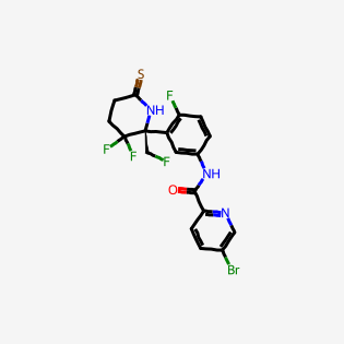 O=C(Nc1ccc(F)c([C@@]2(CF)NC(=S)CCC2(F)F)c1)c1ccc(Br)cn1